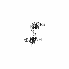 CC(C)(C)OC(=O)N(CCI)CC1NCC(C2=CC=C(C3=Cc4[nH]c([C@@H]5CCCN5C(=O)OC(C)(C)C)nc4CC3)CC2)N1